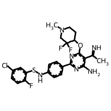 CC(=N)c1c(N)nc(-c2ccc(NSc3cc(Cl)ccc3F)cc2)nc1OC1CCN(C)CC1(F)F